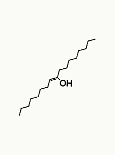 CCCCCCCC=C(O)CCCCCCCC